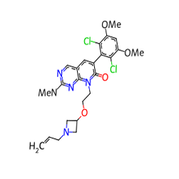 C=CCN1CC(OCCn2c(=O)c(-c3c(Cl)c(OC)cc(OC)c3Cl)cc3cnc(NC)nc32)C1